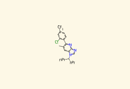 CCCC(CCC)n1cnc2nc(-c3ccc(C(F)(F)F)cc3Cl)c(C)cc21